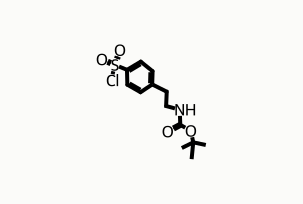 CC(C)(C)OC(=O)NCCc1ccc(S(=O)(=O)Cl)cc1